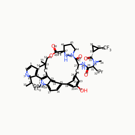 CCn1c(-c2cccnc2[C@H](C)OC)c2c3cc(ccc31)-c1cc(O)cc(c1)C[C@H](NC(=O)C(C(C)C)N(C)C(=O)[C@@H]1CC1C(F)(F)F)C(=O)N1CCC[C@H](N1)C(=O)OCC(C)(C)C2